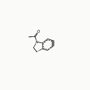 CC(=O)N1CCc2cc#ccc21